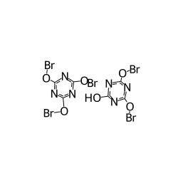 BrOc1nc(OBr)nc(OBr)n1.Oc1nc(OBr)nc(OBr)n1